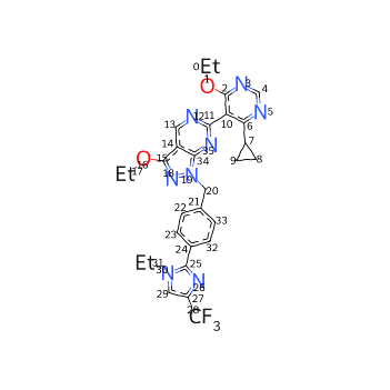 CCOc1ncnc(C2CC2)c1-c1ncc2c(OCC)nn(Cc3ccc(-c4nc(C(F)(F)F)cn4CC)cc3)c2n1